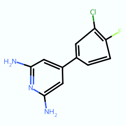 Nc1cc(-c2ccc(F)c(Cl)c2)cc(N)n1